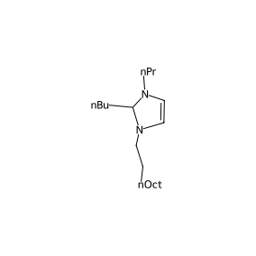 CCCCCCCCCCN1C=CN(CCC)C1CCCC